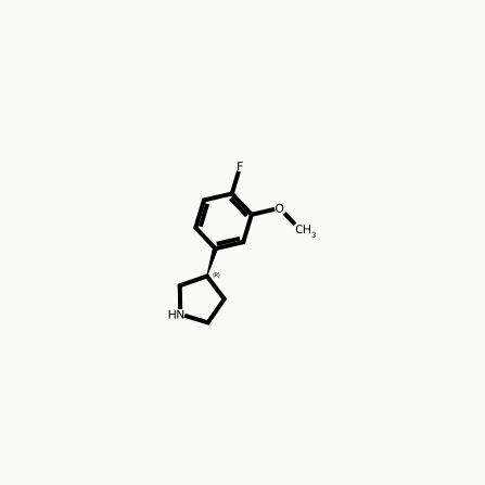 COc1cc([C@H]2CCNC2)ccc1F